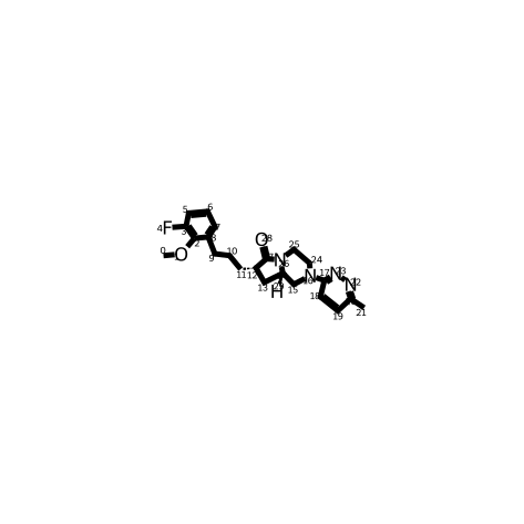 COc1c(F)cccc1CCC[C@H]1C[C@H]2CN(c3ccc(C)nn3)CCN2C1=O